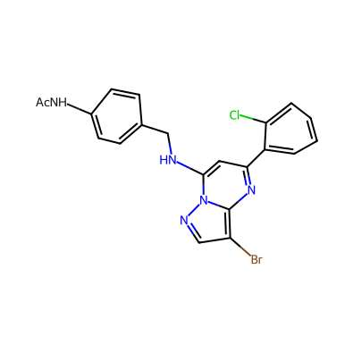 CC(=O)Nc1ccc(CNc2cc(-c3ccccc3Cl)nc3c(Br)cnn23)cc1